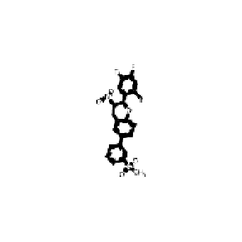 CS(=O)(=O)c1cccc(-c2ccc3c(c2)CC([N+](=O)[O-])C(c2cc(F)c(F)cc2F)O3)c1